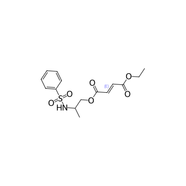 CCOC(=O)/C=C/C(=O)OCC(C)NS(=O)(=O)c1ccccc1